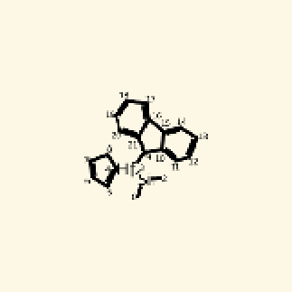 C[Si](C)=[Hf]([C]1=CC=CC1)[CH]1c2ccccc2-c2ccccc21